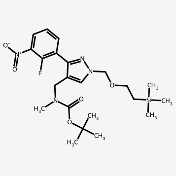 CN(Cc1cn(COCC[Si](C)(C)C)nc1-c1cccc([N+](=O)[O-])c1F)C(=O)OC(C)(C)C